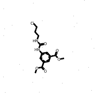 COC(=O)c1cc(NC(=O)NCCCCl)cc(C(=O)OC)c1